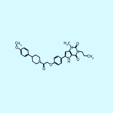 CCCn1c(=O)c2[nH]c(-c3ccc(OCC(=O)N4CCC(c5ccc(OC)cc5)CC4)cc3)cc2n(C)c1=O